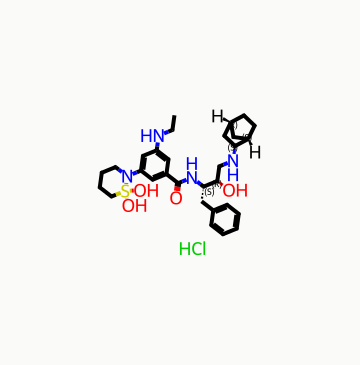 CCNc1cc(C(=O)N[C@@H](Cc2ccccc2)[C@H](O)CN[C@H]2C[C@@H]3CC[C@H]2C3)cc(N2CCCCS2(O)O)c1.Cl